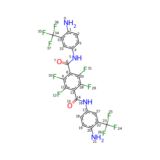 Nc1ccc(NC(=O)c2c(F)c(F)c(C(=O)Nc3ccc(N)c(C(F)(F)F)c3)c(F)c2F)cc1C(F)(F)F